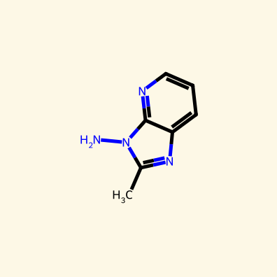 Cc1nc2cccnc2n1N